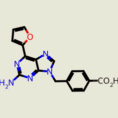 Nc1nc(-c2ccco2)c2ncn(Cc3ccc(C(=O)O)cc3)c2n1